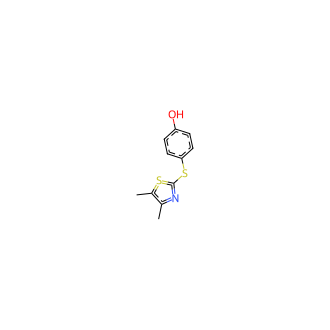 Cc1nc(Sc2ccc(O)cc2)sc1C